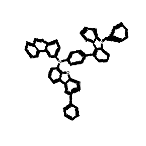 c1ccc(-c2ccc3oc4c(N(c5ccc(-c6cccc7c6c6ccccc6n7-c6ccccc6)cc5)c5ccc6ccc7ccccc7c6c5)cccc4c3c2)cc1